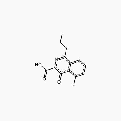 CCCn1nc(C(=O)O)c(=O)c2c(F)cccc21